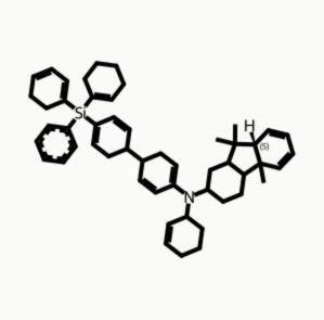 CC1(C)C2CC(N(C3=CCC(C4C=CC([Si](C5=CC=CCC5)(C5=CCCCC5)c5ccccc5)=CC4)C=C3)C3C=CCCC3)CCC2C2(C)C=CC=C[C@@H]12